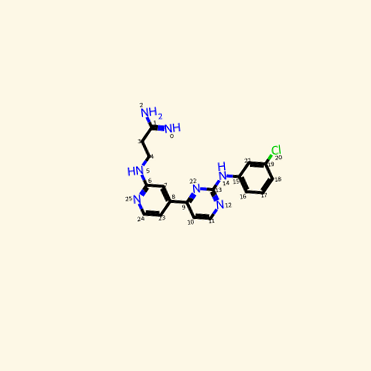 N=C(N)CCNc1cc(-c2ccnc(Nc3cccc(Cl)c3)n2)ccn1